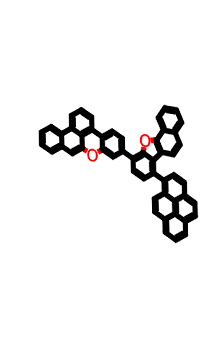 c1ccc2c(c1)cc1c3c(cccc32)-c2ccc(-c3ccc(-c4ccc5ccc6cccc7ccc4c5c67)c4c3oc3c5ccccc5ccc34)cc2O1